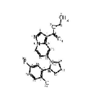 CCOC(=O)c1cnn2ccc(N3CCCC3c3cc(F)ccc3Cl)cc12